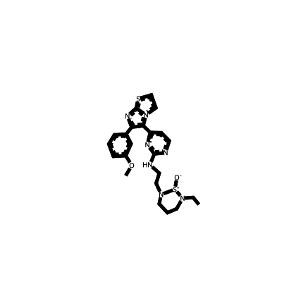 CCN1CCCN(CCNc2nccc(-c3c(-c4cccc(OC)c4)nc4sccn34)n2)[S+]1[O-]